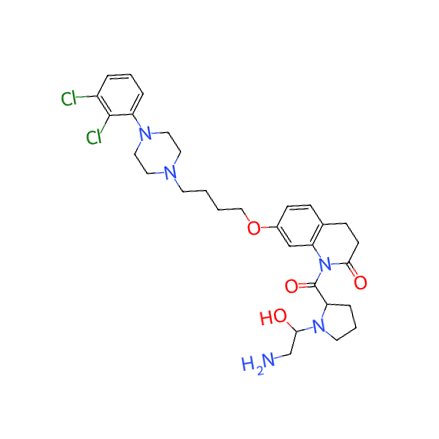 NCC(O)N1CCCC1C(=O)N1C(=O)CCc2ccc(OCCCCN3CCN(c4cccc(Cl)c4Cl)CC3)cc21